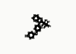 FC(F)(F)C(F)(F)c1nc2cncnc2n1-c1ccc(OC2CCNCC2)cc1